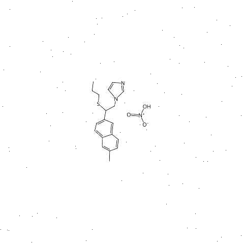 CCCSC(Cn1ccnc1)c1ccc2cc(C)ccc2c1.O=[N+]([O-])O